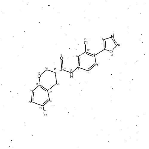 O=C(Nc1ccc(-c2cnco2)c(Cl)c1)[C@H]1COc2ccc(F)cc2C1